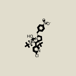 CC(C)(C)[C@@]1([C@H](O[Si](C)(C)C(C)(C)C)c2ccc(Cl)nc2)CC[C@@H](Cc2ccc([N+](=O)[O-])cc2)N1C(=O)O